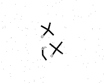 CC(C)(C)[O-].CC(C)(C)[O-].C[CH2][Al+2]